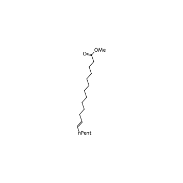 CCCCCC=CCCCCCCCCCCC(=O)OC